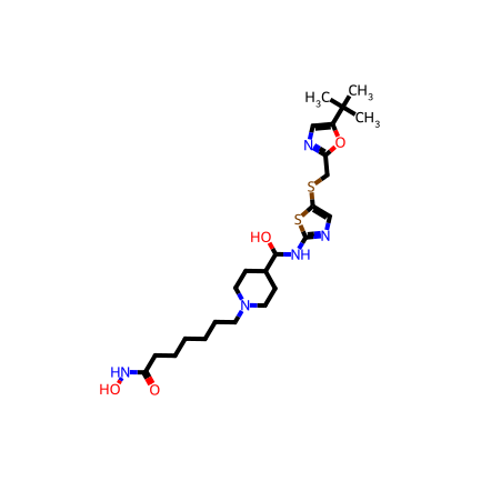 CC(C)(C)c1cnc(CSc2cnc(NC(O)C3CCN(CCCCCCC(=O)NO)CC3)s2)o1